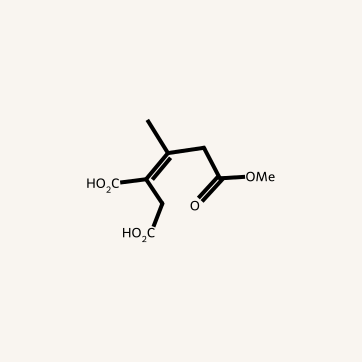 COC(=O)CC(C)=C(CC(=O)O)C(=O)O